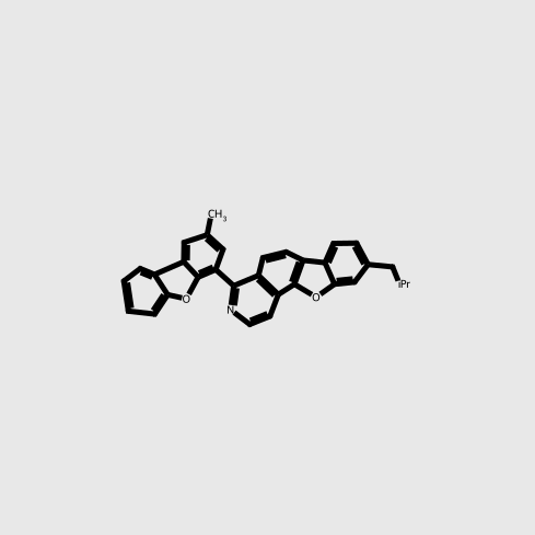 Cc1cc(-c2nccc3c2ccc2c4ccc(CC(C)C)cc4oc32)c2oc3ccccc3c2c1